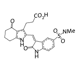 CNS(=O)(=O)c1ccc2c(c1)C(=Cc1[nH]c3c(c1CCC(=O)O)C(=O)CCC3)C(=O)N2